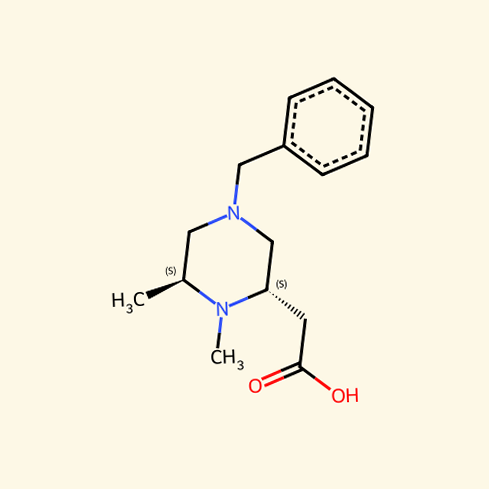 C[C@H]1CN(Cc2ccccc2)C[C@H](CC(=O)O)N1C